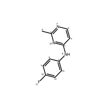 Cc1n[c]cc(Nc2ccc(F)cc2)n1